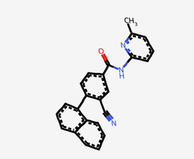 Cc1cccc(NC(=O)c2ccc(-c3cccc4ccccc34)c(C#N)c2)n1